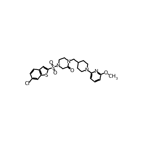 COc1cccc(N2CCC(CN3CCN(S(=O)(=O)c4cc5ccc(Cl)cc5s4)CC3=O)CC2)n1